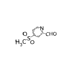 CS(=O)(=O)c1ccnc(C=O)c1